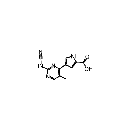 Cc1cnc(NC#N)nc1-c1c[nH]c(C(=O)O)c1